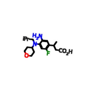 CC(C)CN(c1cc(F)c(C(C)CC(=O)O)cc1N)C1CCOCC1